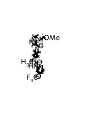 COCCn1ccn2ncc(C(=O)N3CC4(CC(N(C)C(=O)Nc5cc(OC(F)(F)F)ccn5)C4)C3)c12